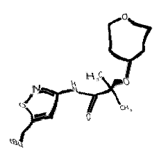 CC(C)(OC1CCOCC1)C(=O)Nc1cc(C(C)(C)C)on1